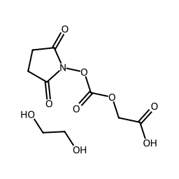 O=C(O)COC(=O)ON1C(=O)CCC1=O.OCCO